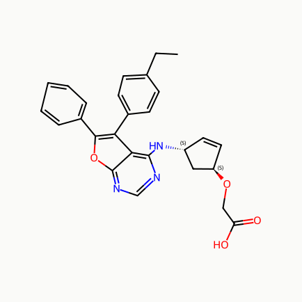 CCc1ccc(-c2c(-c3ccccc3)oc3ncnc(N[C@@H]4C=C[C@@H](OCC(=O)O)C4)c23)cc1